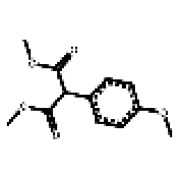 COC(=O)C(C(=O)OC)c1ccc(OC)cc1